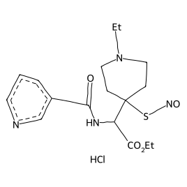 CCOC(=O)C(NC(=O)c1cccnc1)C1(SN=O)CCN(CC)CC1.Cl